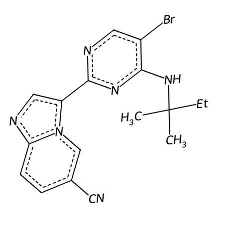 CCC(C)(C)Nc1nc(-c2cnc3ccc(C#N)cn23)ncc1Br